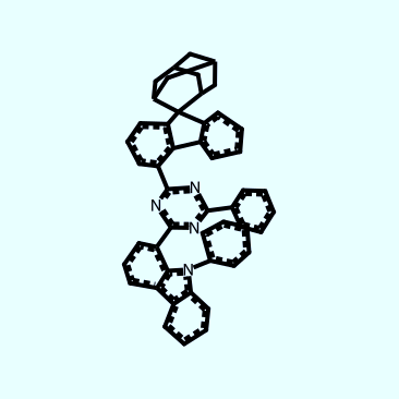 c1ccc(-c2nc(-c3cccc4c3-c3ccccc3C43C4CC5CC(C4)CC3C5)nc(-c3cccc4c5ccccc5n(-c5ccccc5)c34)n2)cc1